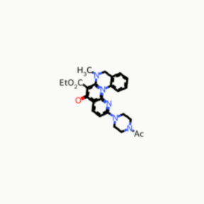 CCOC(=O)c1c2n(c3nc(N4CCN(C(C)=O)CC4)ccc3c1=O)-c1ccccc1CN2C